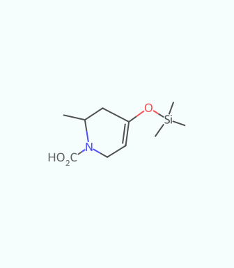 CC1CC(O[Si](C)(C)C)=CCN1C(=O)O